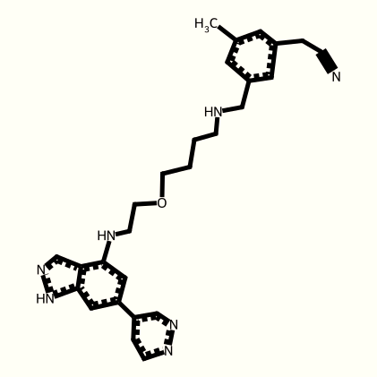 Cc1cc(CC#N)cc(CNCCCCOCCNc2cc(-c3ccnnc3)cc3[nH]ncc23)c1